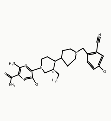 CC[C@H]1CN(c2nc(N)c(C(N)=O)nc2Cl)CCN1C1CCN(Cc2ccc(Cl)cc2C#N)CC1